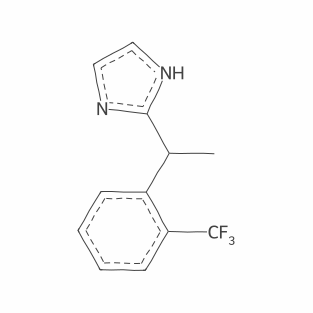 CC(c1ncc[nH]1)c1ccccc1C(F)(F)F